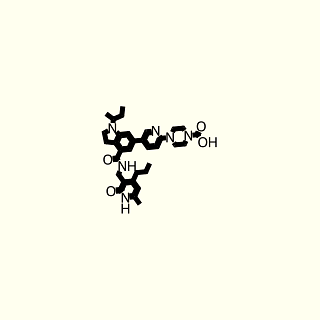 CCCc1cc(C)[nH]c(=O)c1CNC(=O)c1cc(-c2ccc(N3CCN(C(=O)O)CC3)nc2)cc2c1CCN2C(C)CC